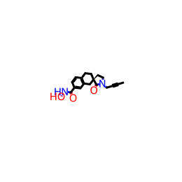 CC#CCN1CC[C@@]2(CCc3ccc(C(=O)NO)cc3C2)C1=O